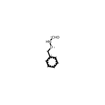 O=[C]NOCc1ccccc1